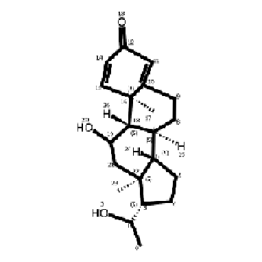 CC(O)[C@H]1CC[C@H]2[C@@H]3CCC4=CC(=O)C=C[C@]4(C)[C@H]3C(O)C[C@]12C